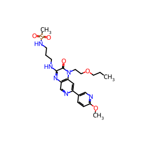 CCCOCCn1c(=O)c(NCCCNS(C)(=O)=O)nc2cnc(-c3ccc(OC)nc3)cc21